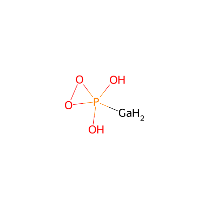 O[P]1(O)([GaH2])OO1